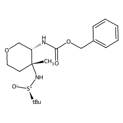 CC(C)(C)[S@@+]([O-])N[C@]1(C)CCOC[C@@H]1NC(=O)OCc1ccccc1